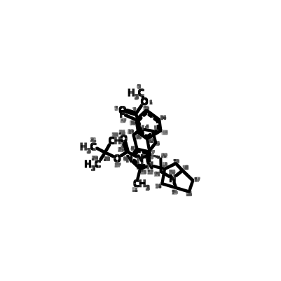 COC(=O)N1CCc2c(nc(C)n2C2CC3CCC(C2)N3CC[C@H](NC(=O)OC(C)(C)C)c2cccc(F)c2)C1